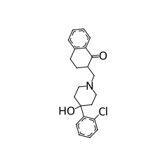 O=C1c2ccccc2CCC1CN1CCC(O)(c2ccccc2Cl)CC1